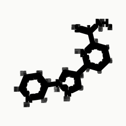 NC(=S)c1cccc(-c2cnn(-c3cccnc3)c2)n1